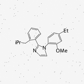 CCc1ccc(-n2ccnc2-c2ccccc2CC(C)C)c(OC)c1